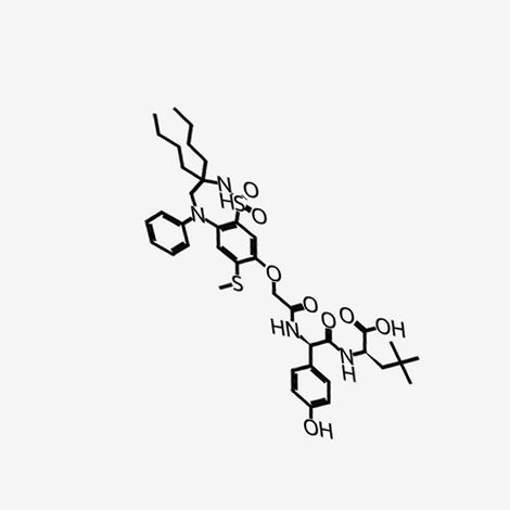 CCCCC1(CCCC)CN(c2ccccc2)c2cc(SC)c(OCC(=O)N[C@@H](C(=O)N[C@H](CC(C)(C)C)C(=O)O)c3ccc(O)cc3)cc2S(=O)(=O)N1